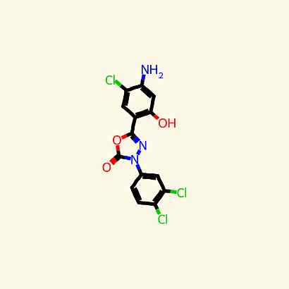 Nc1cc(O)c(-c2nn(-c3ccc(Cl)c(Cl)c3)c(=O)o2)cc1Cl